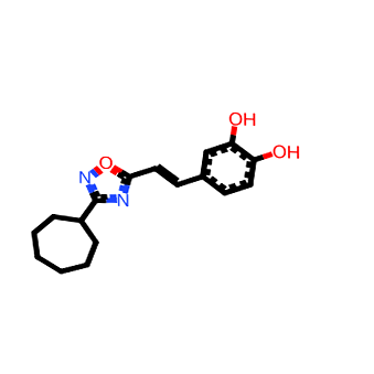 Oc1ccc(C=Cc2nc(C3CCCCCC3)no2)cc1O